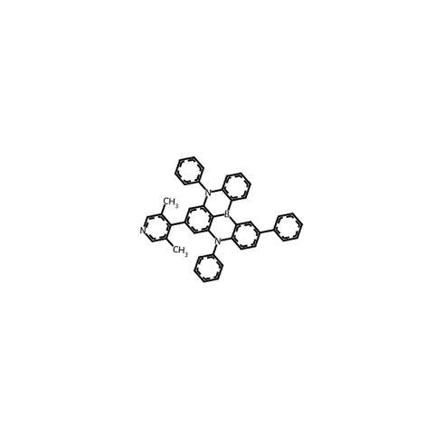 Cc1cncc(C)c1-c1cc2c3c(c1)N(c1ccccc1)c1ccc(-c4ccccc4)cc1B3c1ccccc1N2c1ccccc1